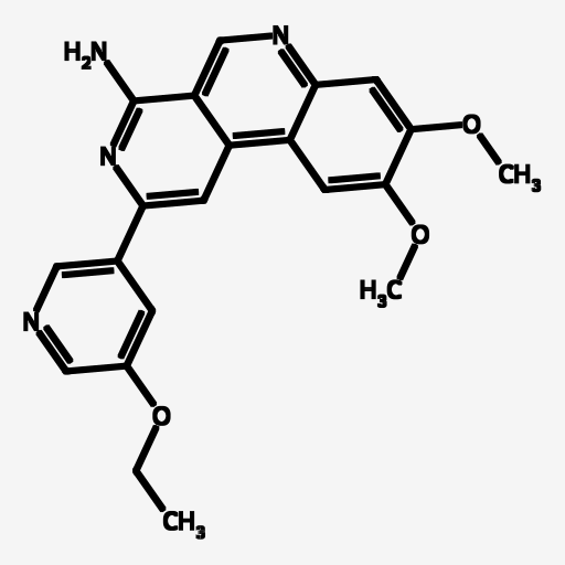 CCOc1cncc(-c2cc3c(cnc4cc(OC)c(OC)cc43)c(N)n2)c1